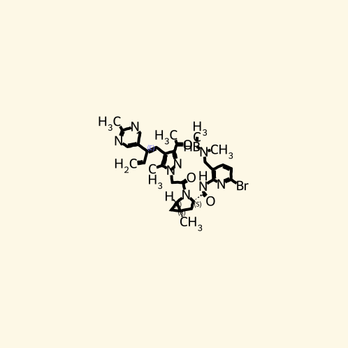 C=C/C(=C\c1c(C(C)=O)nn(CC(=O)N2[C@H](C(=O)Nc3nc(Br)ccc3CN(C)BC)C[C@@]3(C)C[C@@H]23)c1C)c1cnc(C)nc1